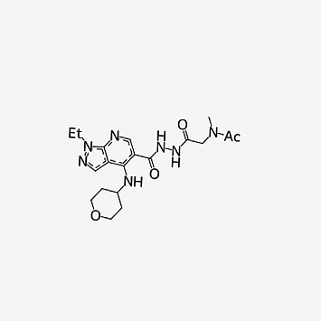 CCn1ncc2c(NC3CCOCC3)c(C(=O)NNC(=O)CN(C)C(C)=O)cnc21